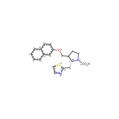 O=C(O)N1CCC(COc2ccc3ccccc3c2)[C@H]1Cc1nccs1